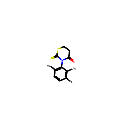 CC(=O)c1ccc(C(C)=O)c(N2C(=O)CCSC2=S)c1C(C)=O